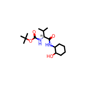 CC(C)[C@@H](NC(=O)OC(C)(C)C)C(=O)NC1CCCCC1O